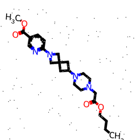 CCCCOC(=O)CN1CCN(C2CC3(C2)CN(c2ccc(C(=O)OC)cn2)C3)CC1